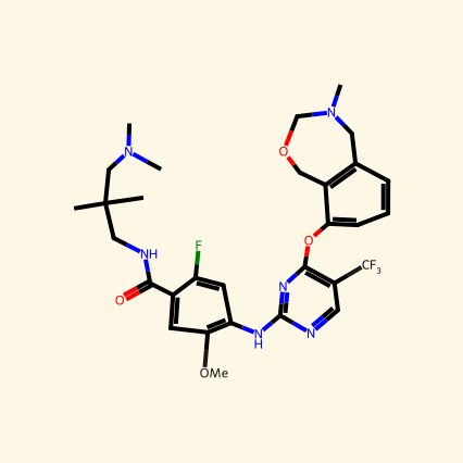 COc1cc(C(=O)NCC(C)(C)CN(C)C)c(F)cc1Nc1ncc(C(F)(F)F)c(Oc2cccc3c2COCN(C)C3)n1